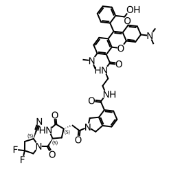 CN(C)c1ccc2c(c1C(=O)NCCNC(=O)c1cccc3c1CN(C(=O)C[C@@H]1C[C@@H](C(=O)N4CC(F)(F)C[C@H]4C#N)NC1=O)C3)OC1=CC(N(C)C)C=CC1=C2c1ccccc1C(=O)O